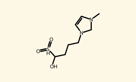 CN1C=CN(CCCC(O)[SH](=O)=O)C1